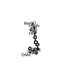 COC(=O)N[C@H](C(=O)N1CCCC1c1ncc(-c2ccc(-c3ccc4cc(-c5cnc([C@@H]6CCCN6C(=O)[C@H](NC(=O)OC)c6ccccc6)[nH]5)ccc4c3)cc2)[nH]1)C(C)C